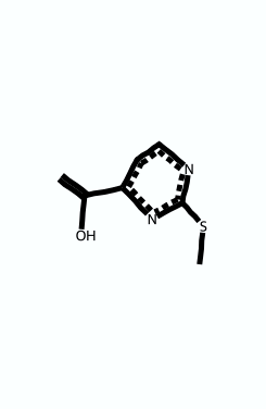 C=C(O)c1ccnc(SC)n1